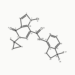 CCn1ccc2c(=O)n(C3(C)CC3)cc(C(=O)Nc3cccc4c3CCC4(F)F)c21